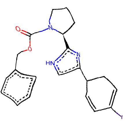 O=C(OCc1ccccc1)N1CCC[C@H]1c1nc(C2C=CC(I)=CC2)c[nH]1